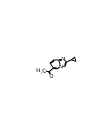 CC(=O)c1ccc2nc(C3CC3)cn2c1